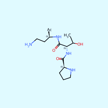 CC(=O)[C@H](CCN)NC(=O)[C@@H](NC(=O)[C@@H]1CCCN1)C(C)O